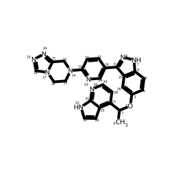 CC(Oc1ccc2[nH]nc(-c3ccc(N4CCn5cnnc5C4)nc3)c2c1)c1ccnc2[nH]ccc12